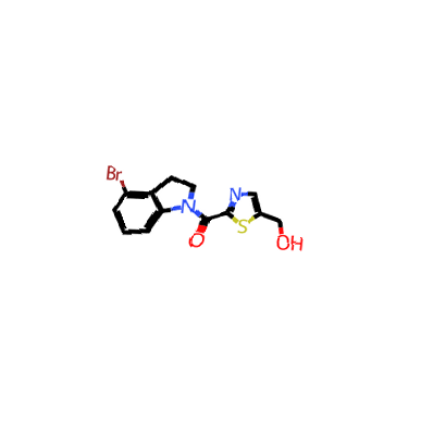 O=C(c1ncc(CO)s1)N1CCc2c(Br)cccc21